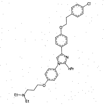 CCCc1nc(-c2ccc(OCCc3ccc(Cl)cc3)cc2)cn1-c1ccc(OCCCN(CC)CC)cc1